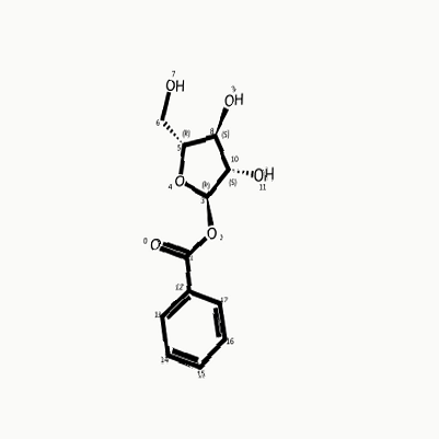 O=C(O[C@H]1O[C@H](CO)[C@@H](O)[C@@H]1O)c1ccccc1